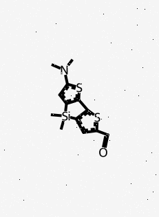 CN(C)c1cc2c(s1)-c1sc(C=O)cc1[Si]2(C)C